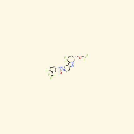 O=C(Nc1ccc(F)c(C(F)(F)F)c1)N1CCc2nn3c(c2C1)C(F)(F)CC[C@H](COCC(F)F)C3